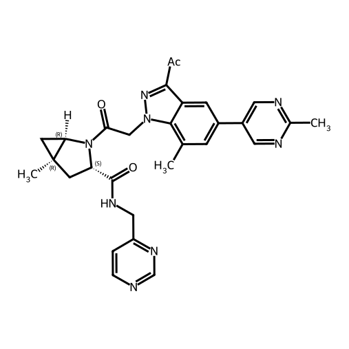 CC(=O)c1nn(CC(=O)N2[C@H](C(=O)NCc3ccncn3)C[C@@]3(C)C[C@@H]23)c2c(C)cc(-c3cnc(C)nc3)cc12